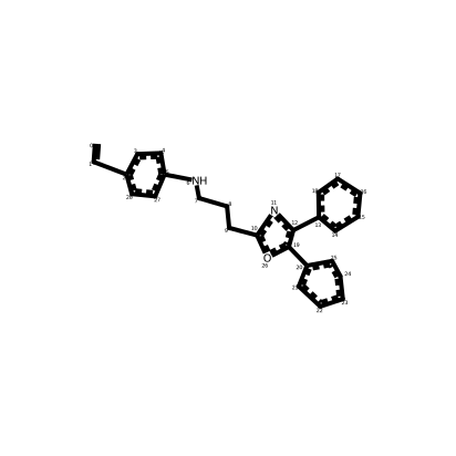 C=Cc1ccc(NCCCc2nc(-c3ccccc3)c(-c3ccccc3)o2)cc1